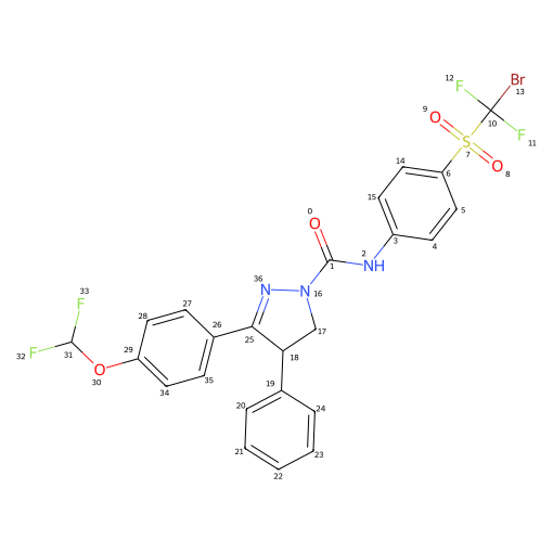 O=C(Nc1ccc(S(=O)(=O)C(F)(F)Br)cc1)N1CC(c2ccccc2)C(c2ccc(OC(F)F)cc2)=N1